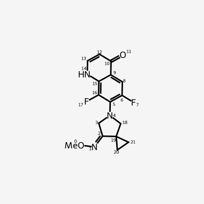 CON=C1CN(c2c(F)cc3c(=O)cc[nH]c3c2F)CC12CC2